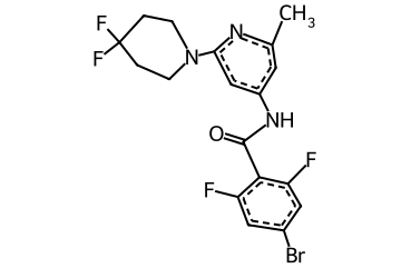 Cc1cc(NC(=O)c2c(F)cc(Br)cc2F)cc(N2CCC(F)(F)CC2)n1